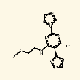 COCCNc1nc(-n2ccnc2)ncc1-c1cccs1.Cl